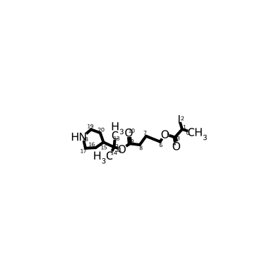 CC(I)C(=O)OCCCC(=O)OC(C)(C)C1CCNCC1